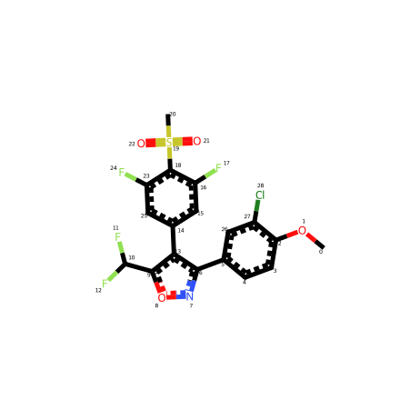 COc1ccc(-c2noc(C(F)F)c2-c2cc(F)c(S(C)(=O)=O)c(F)c2)cc1Cl